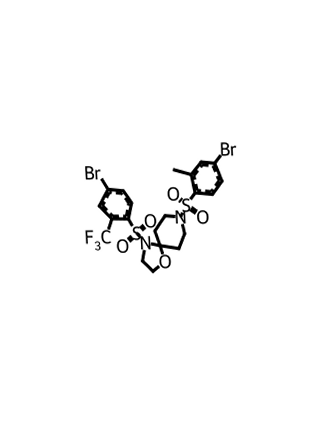 Cc1cc(Br)ccc1S(=O)(=O)N1CCC2(CC1)OCCN2S(=O)(=O)c1ccc(Br)cc1C(F)(F)F